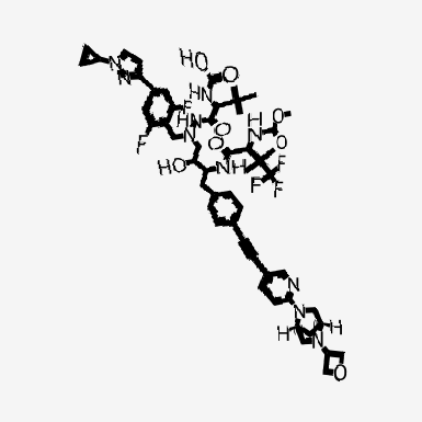 COC(=O)NC(C(=O)NC(Cc1ccc(C#Cc2ccc(N3C[C@H]4C[C@@H]3CN4C3COC3)nc2)cc1)C(O)CN(Cc1c(F)cc(-c2ccn(C3CC3)n2)cc1F)NC(=O)C(NC(=O)O)C(C)(C)C)C(C)(C)C(F)(F)F